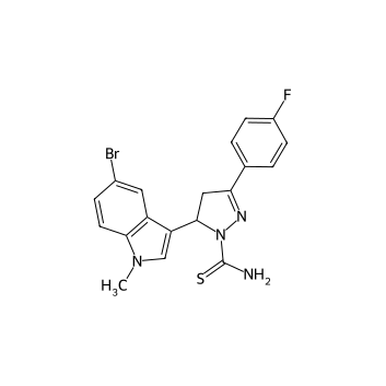 Cn1cc(C2CC(c3ccc(F)cc3)=NN2C(N)=S)c2cc(Br)ccc21